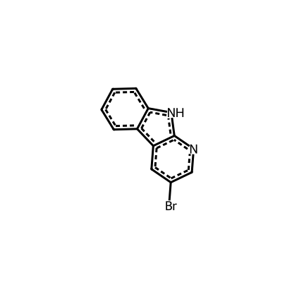 Brc1cnc2[nH]c3ccccc3c2c1